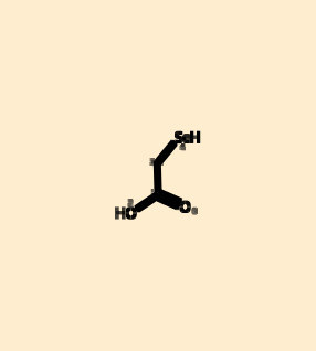 O=C(O)[CH][SeH]